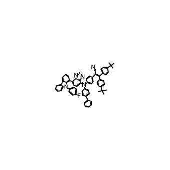 CC(C)(C)c1ccc(C(=C(C#N)c2ccc(N(c3ccc(-c4ccccc4)cc3)c3ccc(-c4cccc5c6ccccc6n(-c6ccc(F)cc6)c45)c4nsnc34)cc2)c2ccc(C(C)(C)C)cc2)cc1